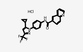 Cl.O=C(Nc1ccc(-n2nc(C(F)(F)F)cc2C2CC2)cc1)c1ccc2ncccc2c1